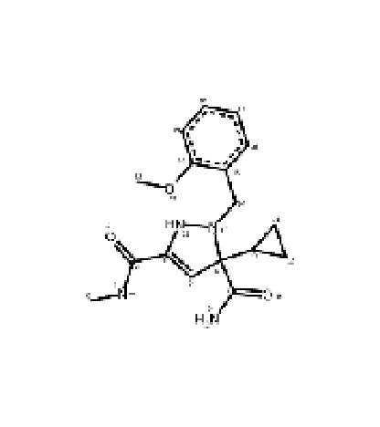 CNC(=O)C1=CC(C(N)=O)(C2CC2)N(Cc2ccccc2OC)N1